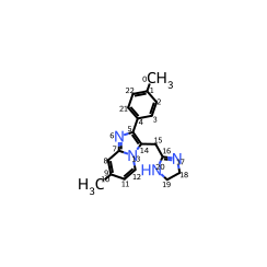 Cc1ccc(-c2nc3cc(C)ccn3c2CC2=NCCN2)cc1